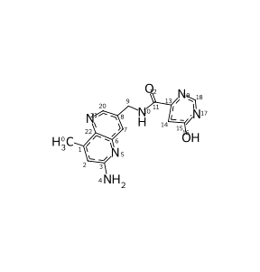 Cc1cc(N)nc2cc(CNC(=O)c3cc(O)ncn3)cnc12